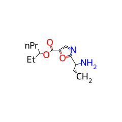 C=CC(N)c1ncc(C(=O)OC(CC)CCC)o1